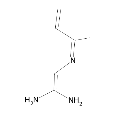 C=C/C(C)=N\C=C(N)N